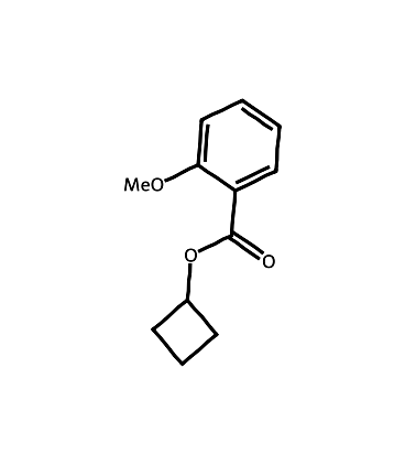 COc1ccccc1C(=O)OC1CCC1